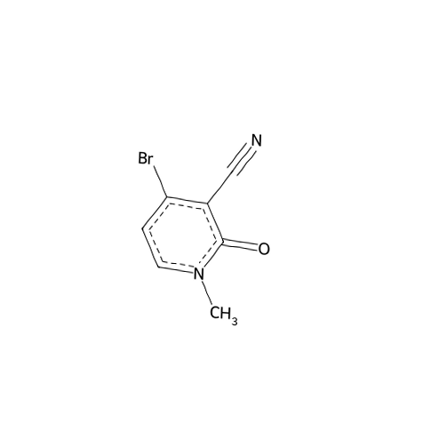 Cn1ccc(Br)c(C#N)c1=O